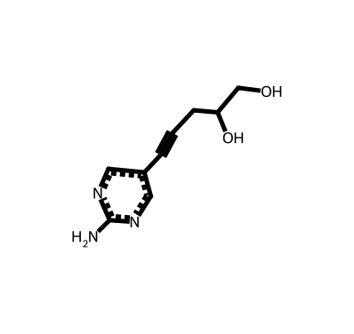 Nc1ncc(C#CCC(O)CO)cn1